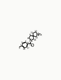 Cc1ccc(C(=O)N2CCC3(CCN(C)C3)C2)cc1